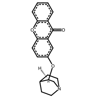 O=c1c2ccccc2oc2ccc(O[C@H]3CN4CCC3CC4)cc12